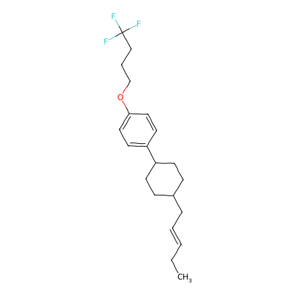 CCC=CCC1CCC(c2ccc(OCCCC(F)(F)F)cc2)CC1